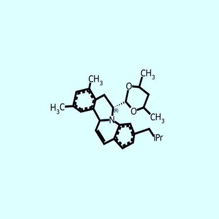 Cc1cc(C)c2c(c1)C1C=Cc3ccc(CC(C)C)cc3N1[C@@H](C1OC(C)CC(C)O1)C2